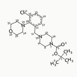 CC(C)(C)OC(=O)N1CCN(Cc2cccc(Cl)c2N2CCOCC2)CC1